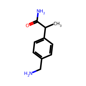 CC(C(N)=O)c1ccc(CN)cc1